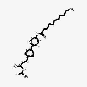 CCCCCCCC/C=C/C(=O)Oc1cnc(-c2ccc(CCC(C)OC(C)=O)cc2)nc1